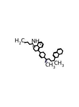 C=CCCC(N)[C@@H]1CCC(C2C=CC(/C(=C/C)CCC(C)C3=CC=C4C=CCCC4C3)CC2)=C2C=CC=CC21